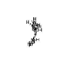 CN1c2cc(OC(F)(F)F)ccc2NC1CC[C@H]1C[C@H](N(C)C[C@H]2O[C@@H](N3CCC4C(N)NCNC43)[C@H](O)[C@@H]2O)C1